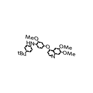 COc1cc(Oc2ccnc3cc(OC)c(OC)cc23)ccc1Nc1ccc(C(C)(C)C)cc1